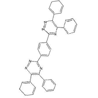 C1=CC(c2nnc(-c3ccc(-c4nnc(C5=CCCC=C5)c(-c5ccccc5)n4)cc3)nc2-c2ccccc2)=CCC1